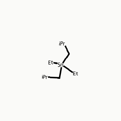 C[CH2][Sn]([CH2]C)([CH2]C(C)C)[CH2]C(C)C